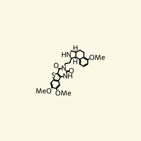 COc1cc2sc3c(=O)n(CCC4NC[C@@H]5CCc6c(OC)cccc6[C@H]45)c(=O)[nH]c3c2cc1OC